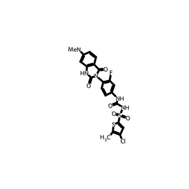 CNc1ccc2c(=O)n(-c3ccc(NC(=O)NS(=O)(=O)c4cc(Cl)c(C)s4)cc3F)c(=O)[nH]c2c1